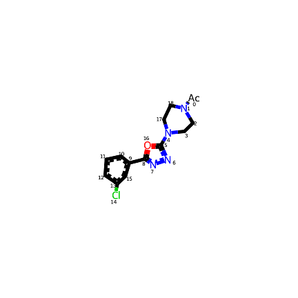 CC(=O)N1CCN(c2nnc(-c3cccc(Cl)c3)o2)CC1